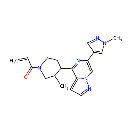 C=CC(=O)N1CCC(c2nc(-c3cnn(C)c3)cn3nccc23)C(C)C1